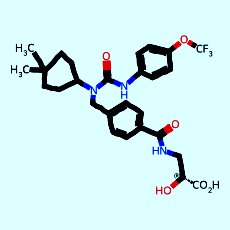 CC1(C)CCC(N(Cc2ccc(C(=O)NC[C@@H](O)C(=O)O)cc2)C(=O)Nc2ccc(OC(F)(F)F)cc2)CC1